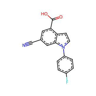 N#Cc1cc(C(=O)O)c2ccn(-c3ccc(F)cc3)c2c1